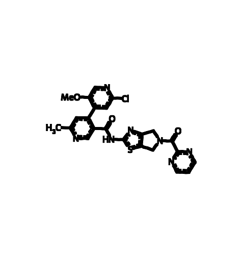 COc1cnc(Cl)cc1-c1cc(C)ncc1C(=O)Nc1nc2c(s1)CN(C(=O)c1ncccn1)C2